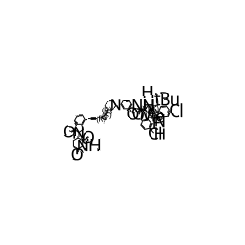 COc1cc(N2CCC[C@H]([C@H]3C[C@H]3C#Cc3cccc4c3CN(C3CCC(=O)NC3=O)C4=O)C2)ccc1NC(=O)[C@@H]1N[C@@H](CC(C)(C)C)[C@@]2(CNc3cc(Cl)ccc32)[C@H]1c1cccc(Cl)c1F